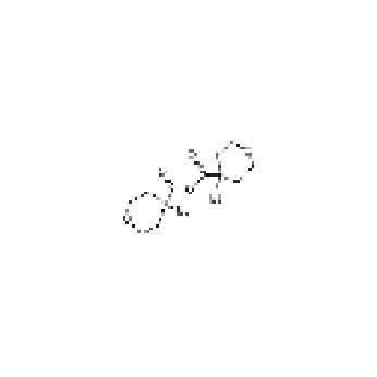 CCC1(C(=O)OC(=O)C2(CC)CCOCC2)CCOCC1